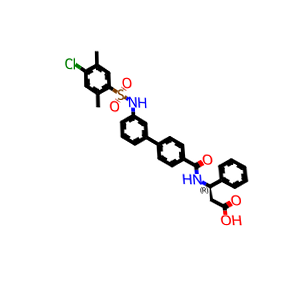 Cc1cc(S(=O)(=O)Nc2cccc(-c3ccc(C(=O)N[C@H](CC(=O)O)c4ccccc4)cc3)c2)c(C)cc1Cl